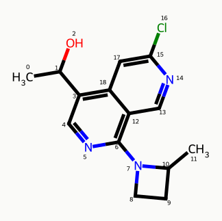 CC(O)c1cnc(N2CCC2C)c2cnc(Cl)cc12